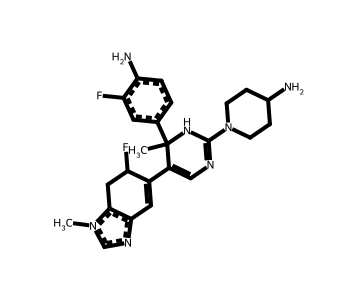 Cn1cnc2c1CC(F)C(C1=CN=C(N3CCC(N)CC3)NC1(C)c1ccc(N)c(F)c1)=C2